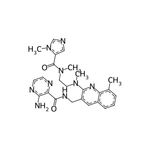 Cc1cccc2cc(CNC(=O)c3nccnc3N)c(N(C)CCN(C)C(=O)c3cncn3C)nc12